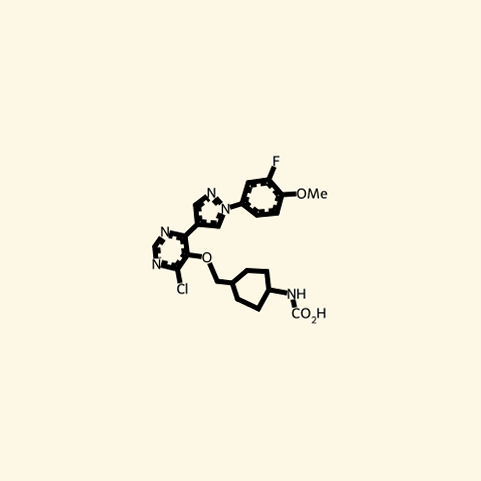 COc1ccc(-n2cc(-c3ncnc(Cl)c3OCC3CCC(NC(=O)O)CC3)cn2)cc1F